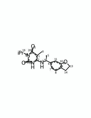 Cc1c(N[C@@H](C)c2ccc3c(c2)OCC3)[nH]c(=O)n(C(C)C)c1=O